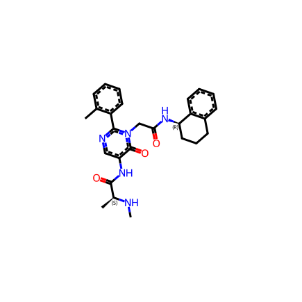 CN[C@@H](C)C(=O)Nc1cnc(-c2ccccc2C)n(CC(=O)N[C@@H]2CCCc3ccccc32)c1=O